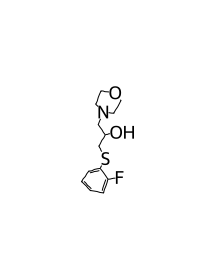 OC(CSc1ccccc1F)CN1CCOCC1